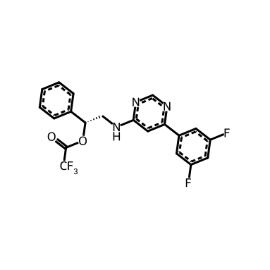 O=C(O[C@@H](CNc1cc(-c2cc(F)cc(F)c2)ncn1)c1ccccc1)C(F)(F)F